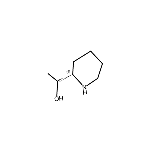 CC(O)[C@@H]1CCCCN1